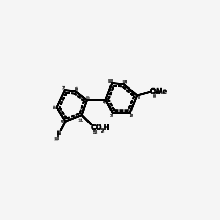 COc1ccc(-c2cccc(F)c2C(=O)O)cc1